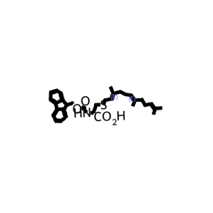 CC(C)=CCC/C(C)=C/CC/C(C)=C/CSCC(NC(=O)OCC1c2ccccc2-c2ccccc21)C(=O)O